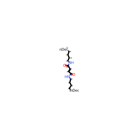 CCCCCCCCCCCCCCNC(=O)C=CC(=O)NCCCCCCCCCCCCCC